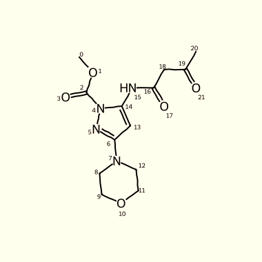 COC(=O)n1nc(N2CCOCC2)cc1NC(=O)CC(C)=O